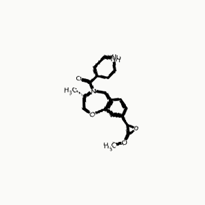 COC1OC1c1ccc2c(c1)OC[C@H](C)N(C(=O)C1CCNCC1)C2